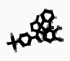 CN1CCC(C(=O)c2ccc(S(C)(=O)=O)cc2)(c2ccc(O)c(O)c2)C12C(=O)Nc1ccccc12